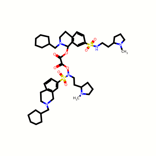 CN1CCCC1CCNS(=O)(=O)c1ccc2c(c1)C(OC(=O)C(=O)ON(CCC1CCCN1C)S(=O)(=O)c1ccc3c(c1)CN(CC1CCCCC1)CC3)N(CC1CCCCC1)CC2